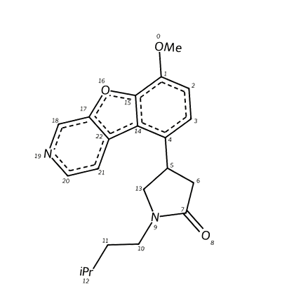 COc1ccc(C2CC(=O)N(CCC(C)C)C2)c2c1oc1cnccc12